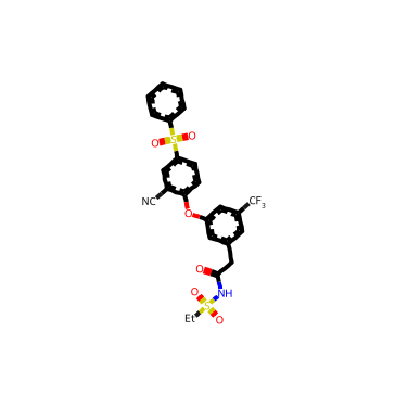 CCS(=O)(=O)NC(=O)Cc1cc(Oc2ccc(S(=O)(=O)c3ccccc3)cc2C#N)cc(C(F)(F)F)c1